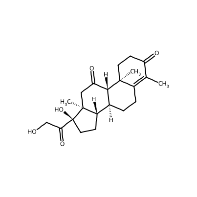 CC1=C2CC[C@@H]3[C@H](C(=O)C[C@@]4(C)[C@H]3CC[C@]4(O)C(=O)CO)[C@@]2(C)CCC1=O